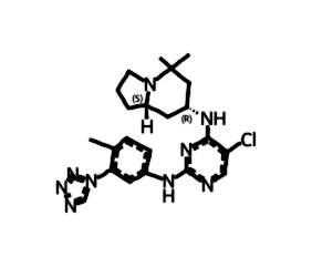 Cc1ccc(Nc2ncc(Cl)c(N[C@@H]3C[C@@H]4CCCN4C(C)(C)C3)n2)cc1-n1cnnn1